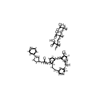 O=C(CC1CCN(c2ccncc2)C1)Nc1ccc2cc1CCc1cncc(c1)Nc1ncc(Cl)c(n1)N2.O=C(O)C(F)(F)F.O=C(O)C(F)(F)F.O=C(O)C(F)(F)F